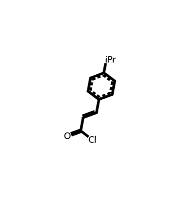 CC(C)c1ccc(C=CC(=O)Cl)cc1